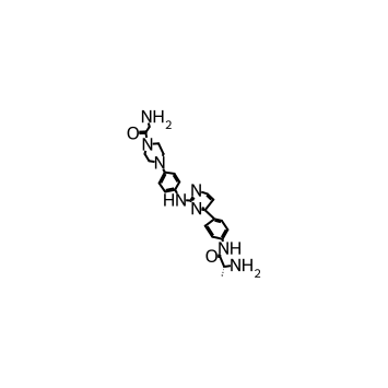 C[C@@H](N)C(=O)Nc1ccc(-c2ccnc(Nc3ccc(N4CCN(C(=O)CN)CC4)cc3)n2)cc1